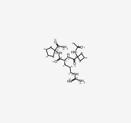 CC(=O)NC1(C(=O)N[C@@H](CCCNC(=N)N)C(=O)NC2(C(N)=O)CCCC2)CCC1